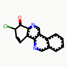 O=C1c2ncc3c(ncc4ccccc43)c2C=CC1Cl